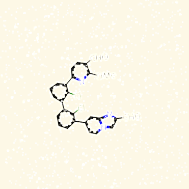 COc1nc(-c2cccc(-c3cccc(-c4ccn5cc(C=O)nc5c4)c3Cl)c2Cl)ccc1C=O